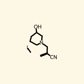 C=C(C#N)CN1CCCC(O)C1.CI